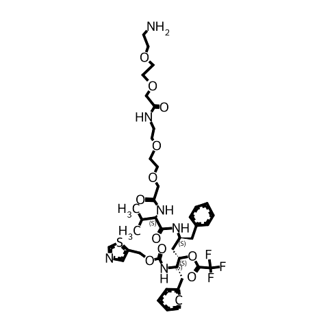 CC(C)[C@H](NC(=O)COCCOCCNC(=O)COCCOCCN)C(=O)N[C@@H](Cc1ccccc1)C[C@H](OC(=O)C(F)(F)F)[C@H](Cc1ccccc1)NC(=O)OCc1cncs1